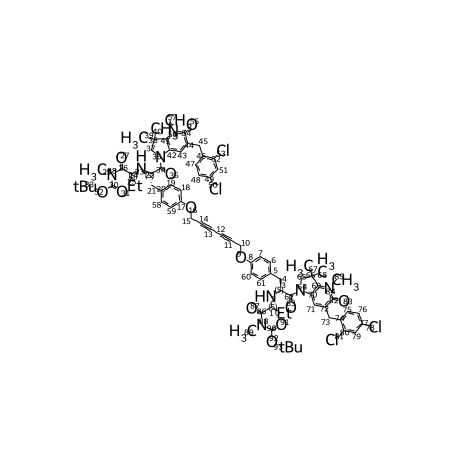 CC[C@H](N[C@@H](Cc1ccc(OCC#CC#CCOc2ccc(C[C@H](N[C@@H](CC)C(=O)N(C)C(=O)OC(C)(C)C)C(=O)N3CC(C)(C)c4c3cc(Cc3ccc(Cl)cc3Cl)c(=O)n4C)cc2)cc1)C(=O)N1CC(C)(C)c2c1cc(Cc1ccc(Cl)cc1Cl)c(=O)n2C)C(=O)N(C)C(=O)OC(C)(C)C